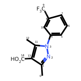 Cc1nn(-c2cccc(C(F)(F)F)c2)c(C)c1C(=O)O